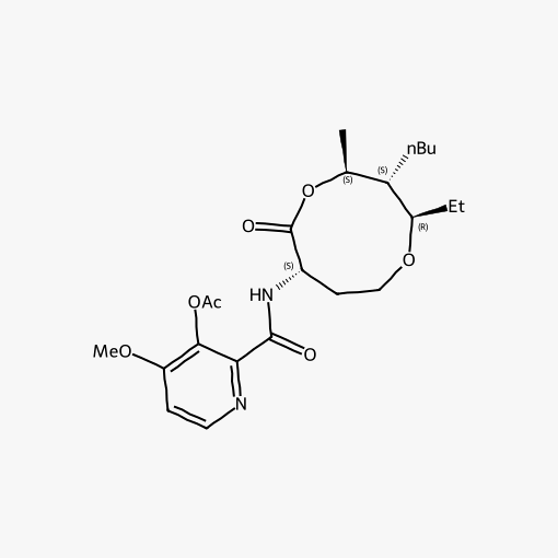 CCCC[C@H]1[C@H](C)OC(=O)[C@@H](NC(=O)c2nccc(OC)c2OC(C)=O)CCO[C@@H]1CC